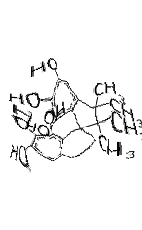 CC1(C)c2cc(O)c(O)c(O)c2C2(CCc3cc(O)c(O)c(O)c32)C1(C)C